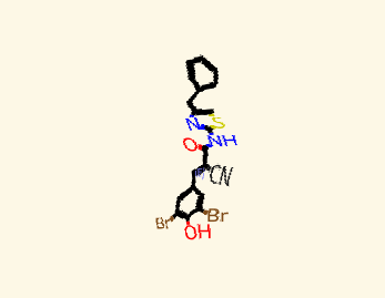 N#C/C(=C\c1cc(Br)c(O)c(Br)c1)C(=O)Nc1nc(Cc2ccccc2)cs1